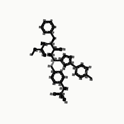 COC(=O)N[C@@H](Cc1ccccc1)C(=O)N[C@@H](Cc1ccc(N[SH](=O)=O)cc1)c1csc(-c2ccc(C)nc2)n1